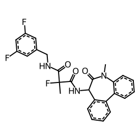 CN1C(=O)C(NC(=O)C(C)(F)C(=O)NCc2cc(F)cc(F)c2)c2ccccc2-c2ccccc21